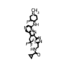 CN1CC[C@@H](Nc2cncc3c(CC(F)(F)F)c(-c4nnc(CNC(=O)C5CC5)s4)nn23)[C@@H](F)C1